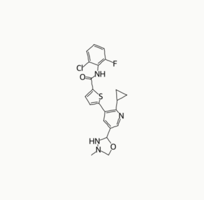 CN1COC(c2cnc(C3CC3)c(-c3ccc(C(=O)Nc4c(F)cccc4Cl)s3)c2)N1